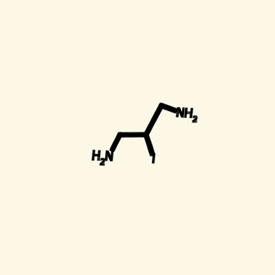 NCC(I)CN